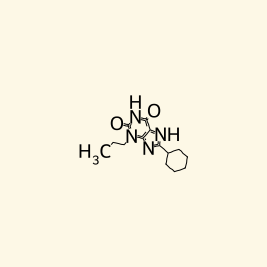 CCCn1c(=O)[nH]c(=O)c2[nH]c(C3CCCCC3)nc21